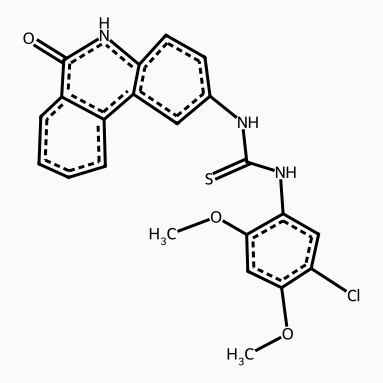 COc1cc(OC)c(NC(=S)Nc2ccc3[nH]c(=O)c4ccccc4c3c2)cc1Cl